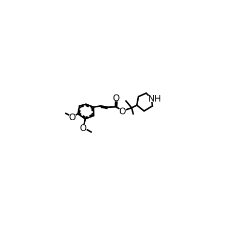 COc1ccc(/C=C/C(=O)OC(C)(C)C2CCNCC2)cc1OC